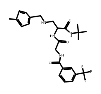 Cc1ccc(CNCC(NC(=O)CNC(=O)c2cccc(C(F)(F)F)c2)C(=O)NC(C)(C)C)cc1